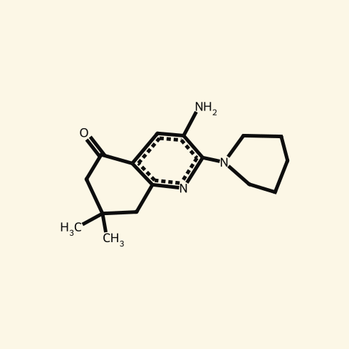 CC1(C)CC(=O)c2cc(N)c(N3CCCCC3)nc2C1